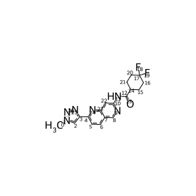 Cn1cc(-c2ccc3cnc(NC(=O)C4CCC(F)(F)CC4)cc3n2)nn1